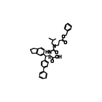 CC(C)CN(CCC(=O)OCc1ccccc1)C(=O)N[C@H](C(=O)O)C(c1ccc(-c2ccccc2)cc1)c1ccc2c(c1)CCC2